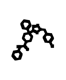 O=C(Nc1ccccc1)N1CCC(c2ccccc2)(c2nnn(Cc3ccc(Cl)cc3)n2)CC1